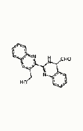 O=CC1NC(c2nc3ccccc3cc2CO)=Nc2ccccc21